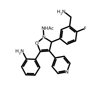 CC(=O)NN1OC(c2ccccc2N)=C(c2ccncc2)C1c1ccc(F)c(CN)c1